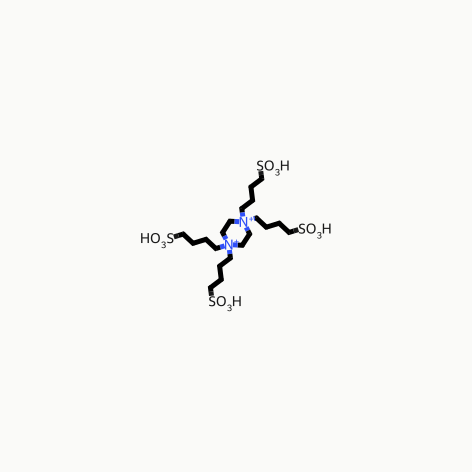 O=S(=O)(O)CCCC[N+]1(CCCCS(=O)(=O)O)CC[N+](CCCCS(=O)(=O)O)(CCCCS(=O)(=O)O)CC1